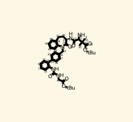 CC(C)(C)OC(=O)CNC(=O)Nc1ccccc1-c1ccc(CN2C(=O)[C@H](NC(=O)C(N)C(C)(C)C(=O)OC(C)(C)C)CCc3ccccc32)cc1